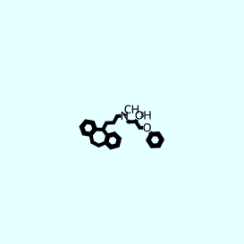 CN(CCCC1c2ccccc2CCc2ccccc21)CC(O)COc1ccccc1